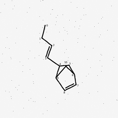 CCC=CC1CC2C=CC1C2